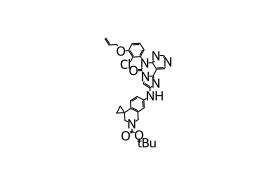 C=CCOc1cccc(-n2c(=O)n3cc(Nc4ccc5c(c4)CN(C(=O)OC(C)(C)C)CC54CC4)nc3c3cncnc32)c1Cl